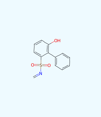 C=NS(=O)(=O)c1cccc(O)c1-c1ccccc1